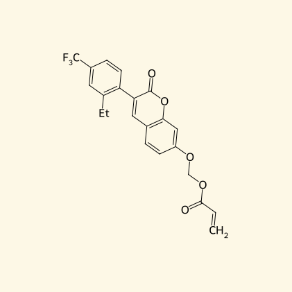 C=CC(=O)OCOc1ccc2cc(-c3ccc(C(F)(F)F)cc3CC)c(=O)oc2c1